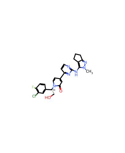 Cn1nc2c(c1Nc1nccc(-c3ccn([C@H](CO)c4ccc(F)c(Cl)c4)c(=O)c3)n1)CCC2